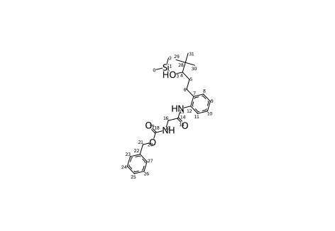 C[SiH](C)OC(CCc1ccccc1NC(=O)CNC(=O)OCc1ccccc1)C(C)(C)C